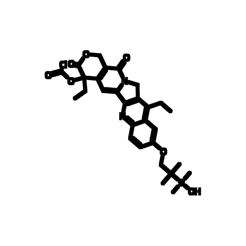 CCc1c2c(nc3ccc(OCC(C)(C)[Si](C)(C)O)cc13)-c1cc3c(c(=O)n1C2)COC(=O)C3(CC)OC(=O)Cl